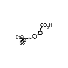 CCO[Si](CCCC[C@H]1CC[C@H](c2cccc(/C=C/C(=O)O)c2)CC1)(OCC)OCC